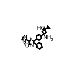 NC1(c2ccc(-c3nc4c(nc3-c3ccccc3)OCn3ccnc3-4)cc2)CC(O)(C2CC2)C1